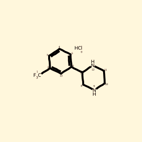 Cl.FC(F)(F)c1cccc(C2CNCCN2)c1